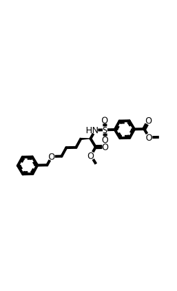 COC(=O)c1ccc(S(=O)(=O)N[C@H](CCCCOCc2ccccc2)C(=O)OC)cc1